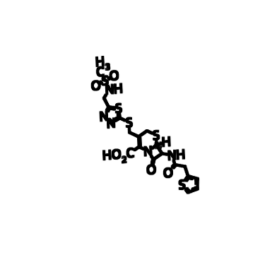 CS(=O)(=O)NCc1nnc(SCC2=C(C(=O)O)N3C(=O)C(NC(=O)Cc4cccs4)[C@H]3SC2)s1